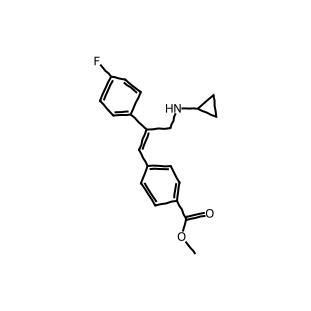 COC(=O)c1ccc(C=C(CNC2CC2)c2ccc(F)cc2)cc1